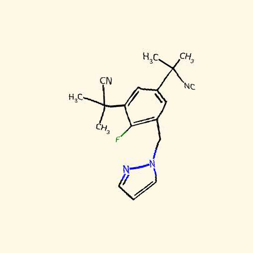 [C-]#[N+]C(C)(C)c1cc(Cn2cccn2)c(F)c(C(C)(C)C#N)c1